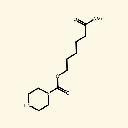 CNC(=O)CCCCCOC(=O)N1CCNCC1